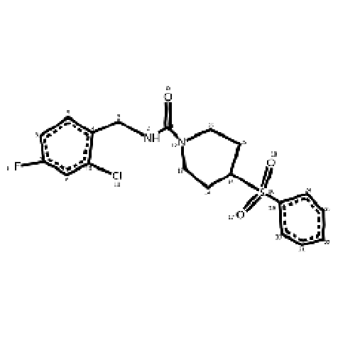 O=C(NCc1ccc(F)cc1Cl)N1CCC(S(=O)(=O)c2ccccc2)CC1